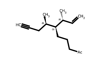 C#CC[C@@H](C)[C@H](CCCC(C)=O)[C@H](C)C=C